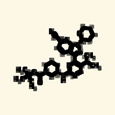 CC(C)c1cnc(N[C@H]2CCCN(C(=O)OC(C)(C)C)C2)nc1-c1nn(C2CCCCO2)c2nc(C#N)ccc12